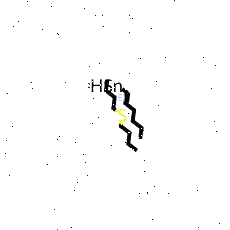 CCCC/C=[CH]/[SnH].CCCCSCCCC